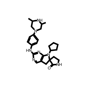 CC1CN(c2ccc(Nc3ncc4c(n3)N(C3CCCC3)C3(CCNC3=O)C4)cc2)CC(C)N1